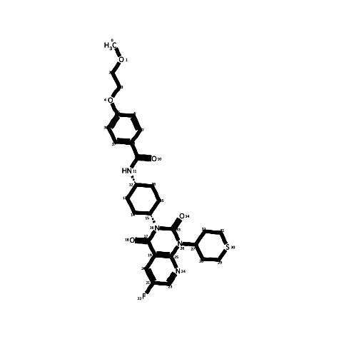 COCCOc1ccc(C(=O)N[C@H]2CC[C@@H](n3c(=O)c4cc(F)cnc4n(C4CCSCC4)c3=O)CC2)cc1